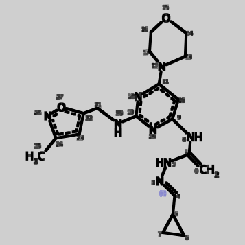 C=C(N/N=C/C1CC1)Nc1cc(N2CCOCC2)nc(NCc2cc(C)no2)n1